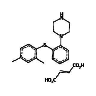 Cc1ccc(Sc2ccccc2N2CCNCC2)c(C)c1.O=C(O)/C=C/C(=O)O